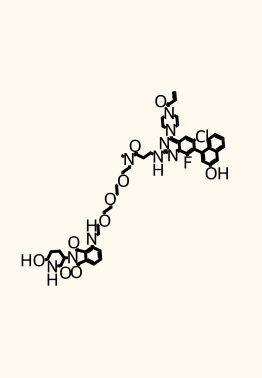 C=CC(=O)N1CCN(c2nc(NCCC(=O)N(C)CCOCCOCCOCCNc3cccc4c3C(=O)N(C3CCC(O)NC3=O)C4=O)nc3c(F)c(-c4cc(O)cc5ccccc45)c(Cl)cc23)CC1